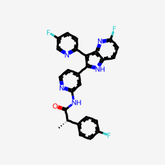 C[C@H](C(=O)Nc1cc(-c2[nH]c3ccc(F)nc3c2-c2ccc(F)cn2)ccn1)c1ccc(F)cc1